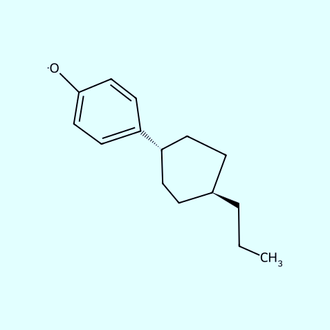 CCC[C@H]1CC[C@H](c2ccc([O])cc2)CC1